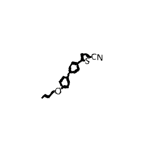 CC=CCOc1ccc(-c2ccc(-c3ccc(C#N)s3)cc2)cc1